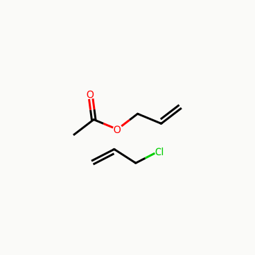 C=CCCl.C=CCOC(C)=O